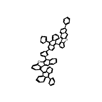 c1ccc(-c2ccc3cc4c(cc3c2)oc2cccc(-c3c5ccccc5c(-c5ccccc5)c5cc(-c6cccc(-c7c8ccccc8cc8c7oc7cccc(-c9c%10ccccc%10c(-c%10ccccc%10)c%10ccccc9%10)c78)c6)ccc35)c24)cc1